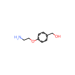 NCCOc1ccc(CO)cc1